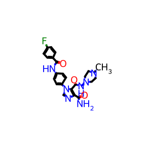 CN1CCN(NC(=O)c2c(C(N)=O)ncn2-c2ccc(NC(=O)c3ccc(F)cc3)cc2)CC1